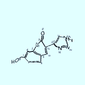 O=c1oc2cc(O)ccc2cc1-c1c[nH]nn1